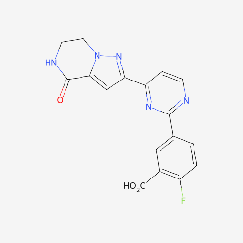 O=C(O)c1cc(-c2nccc(-c3cc4n(n3)CCNC4=O)n2)ccc1F